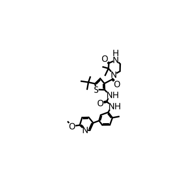 COc1ccc(-c2ccc(C)c(NC(=O)Nc3sc(C(C)(C)C)cc3C(=O)N3CCNC(=O)C3(C)C)c2)cn1